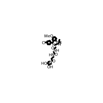 COc1ccc2c(c1)C(c1ccc(Cl)cc1)=N[C@@H](CC(=O)NCC(=O)NCCC(=O)N1C[C@@H](O)[C@@H](O)C1)c1nnc(C)n1-2